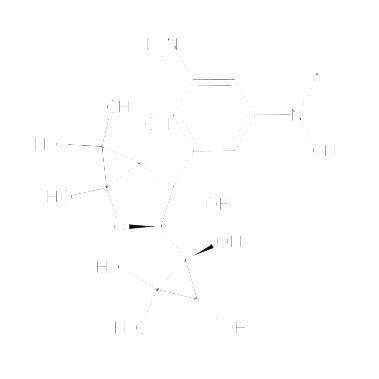 CC(=O)N(C)c1cc(N)cc([C@@]2(O)[C@@H]([C@]3(O)C(O)C3(C)C)OC3(O)C(C)(C)[C@]32O)c1